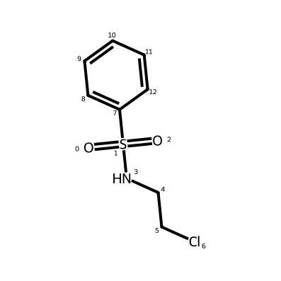 O=S(=O)(NCCCl)c1ccccc1